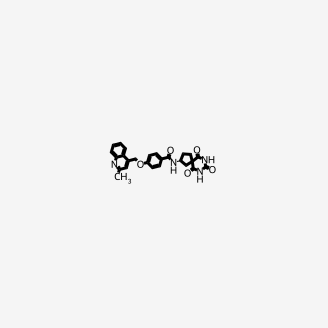 Cc1cc(COc2ccc(C(=O)N[C@@H]3CCC4(C3)C(=O)NC(=O)NC4=O)cc2)c2ccccc2n1